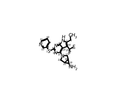 CCc1[nH]c2nc(Sc3cccnc3)nc(N3CC4C(N)C4C3)c2c1C(F)F